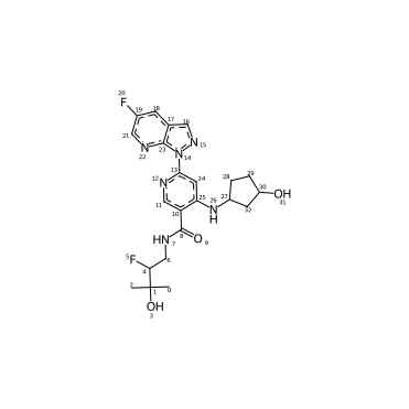 CC(C)(O)C(F)CNC(=O)c1cnc(-n2ncc3cc(F)cnc32)cc1NC1CCC(O)C1